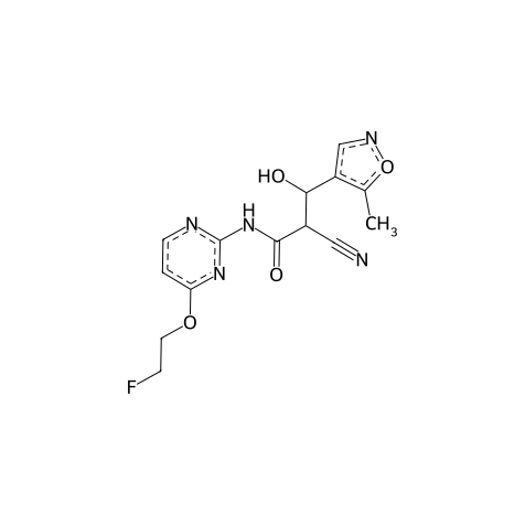 Cc1oncc1C(O)C(C#N)C(=O)Nc1nccc(OCCF)n1